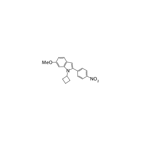 COc1ccc2cc(-c3ccc([N+](=O)[O-])cc3)n(C3CCC3)c2c1